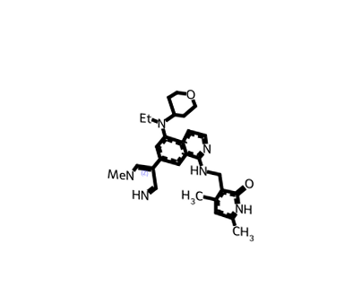 CCN(c1cc(/C(C=N)=C/NC)cc2c(NCc3c(C)cc(C)[nH]c3=O)nccc12)C1CCOCC1